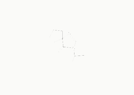 CC(I)N1C=NC2(CCCC2)C1=O